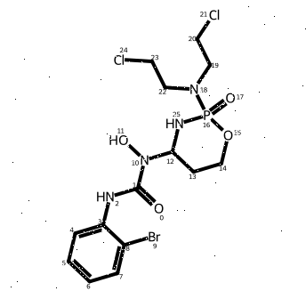 O=C(Nc1ccccc1Br)N(O)C1CCOP(=O)(N(CCCl)CCCl)N1